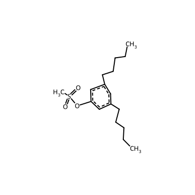 CCCCCc1cc(CCCCC)cc(OS(C)(=O)=O)c1